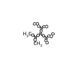 Cc1ccc(N(c2ccc(C)cc2)c2ccc(N(c3ccc(N(c4ccc5ccccc5c4)c4ccc5c(ccc6ccccc65)c4)cc3)c3ccc(N(c4ccc5ccccc5c4)c4ccc5c(ccc6ccccc65)c4)cc3)cc2)cc1